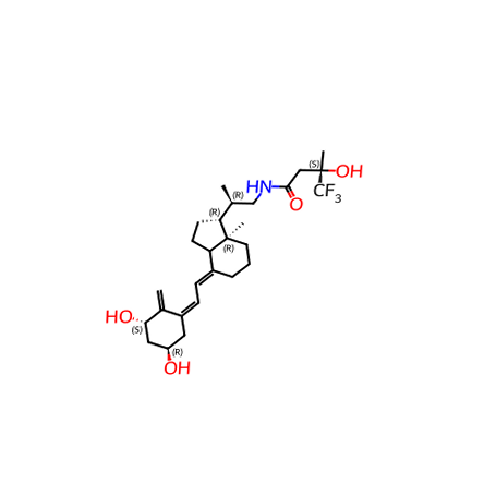 C=C1C(=CC=C2CCC[C@@]3(C)C2CC[C@@H]3[C@@H](C)CNC(=O)C[C@](C)(O)C(F)(F)F)C[C@@H](O)C[C@@H]1O